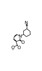 COC(=O)c1cccn(C2CCCC(C#N)C2)c1=O